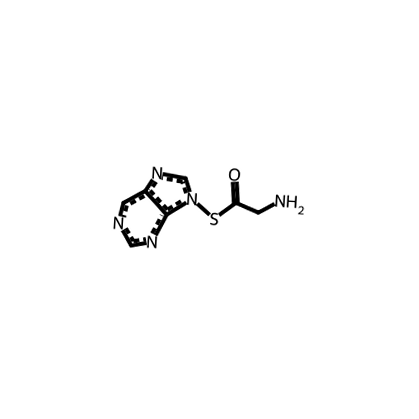 NCC(=O)Sn1cnc2cncnc21